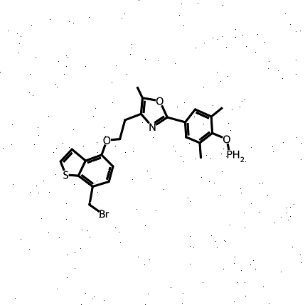 Cc1cc(-c2nc(CCOc3ccc(CBr)c4sccc34)c(C)o2)cc(C)c1OP